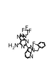 Nc1nc(-c2nn(Cc3ccccc3F)c3ncccc23)nc2c1nnn2CC(F)(F)F